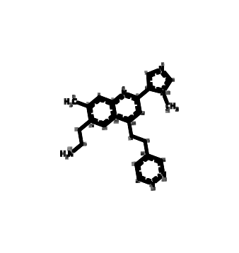 Cc1cc2nc(-c3cncn3C)cc(CCc3ccnnc3)c2cc1CCN